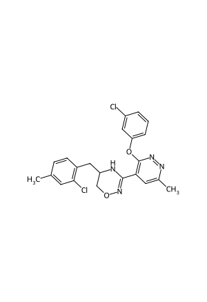 Cc1ccc(CC2CON=C(c3cc(C)nnc3Oc3cccc(Cl)c3)N2)c(Cl)c1